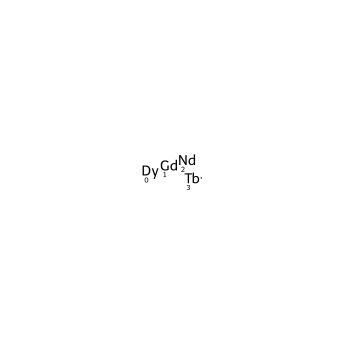 [Dy].[Gd].[Nd].[Tb]